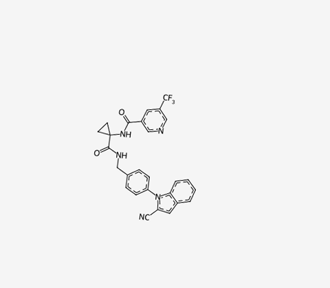 N#Cc1cc2ccccc2n1-c1ccc(CNC(=O)C2(NC(=O)c3cncc(C(F)(F)F)c3)CC2)cc1